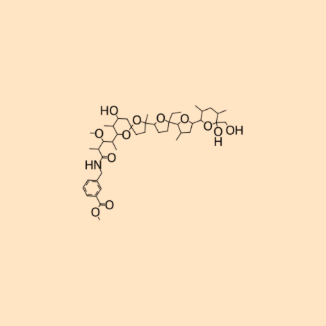 CCC1(C2OC(C3OC(O)(CO)C(C)CC3C)CC2C)CCC(C2(C)CCC3(CC(O)C(C)C(C(C)C(OC)C(C)C(=O)NCc4cccc(C(=O)OC)c4)O3)O2)O1